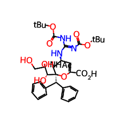 CC(=O)N[C@@H]1[C@@H](NC(=NC(=O)OC(C)(C)C)NC(=O)OC(C)(C)C)C=C(C(=O)O)O[C@@]1(C(c1ccccc1)c1ccccc1)[C@H](O)[C@H](O)CO